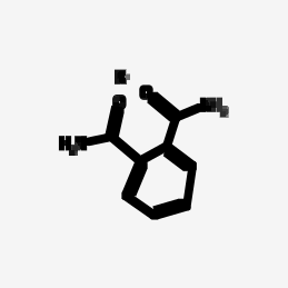 NC(=O)c1ccccc1C(N)=O.[K]